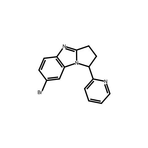 Brc1ccc2nc3n(c2c1)C(c1ccccn1)CC3